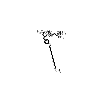 CCCCCCCCCCCCCCOc1ccc(CC(COP(=O)(O)OCCC[N+](C)(C)CC)CC(C)=O)cc1